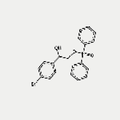 O=P(OCC(O)c1ccc(Br)cc1)(c1ccccc1)c1ccccc1